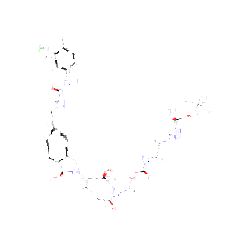 Cc1ccc(NC(=O)NCc2ccc3c(c2)CN(C2CCC(=O)N(COC(=O)NCCNC(=O)OC(C)(C)C)C2=O)C3=O)cc1Cl